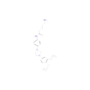 COc1ccc(N2CCN(c3ccc(NC(=O)CCCCN)cc3)C2)cc1OC